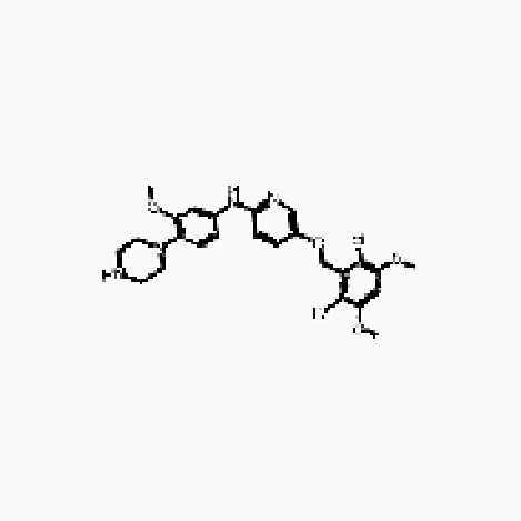 COc1cc(Nc2ccc(OCc3c(Cl)c(OC)cc(OC)c3Cl)cn2)ccc1N1CCNCC1